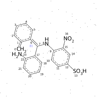 C=c1cccc/c1=C(\Nc1ccc(S(=O)(=O)O)cc1[N+](=O)[O-])c1ccccc1N